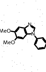 COc1cc2ncn(-c3ccccc3)c2cc1OC